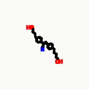 N#C/C(=C\c1ccc(CCCCCO)cc1)c1ccc(CCCCO)cc1